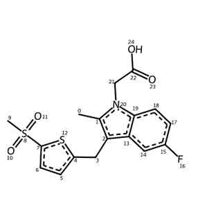 Cc1c(Cc2ccc(S(C)(=O)=O)s2)c2cc(F)ccc2n1CC(=O)O